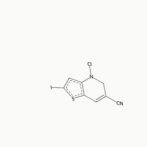 N#CC1=Cc2sc(I)cc2N(Cl)C1